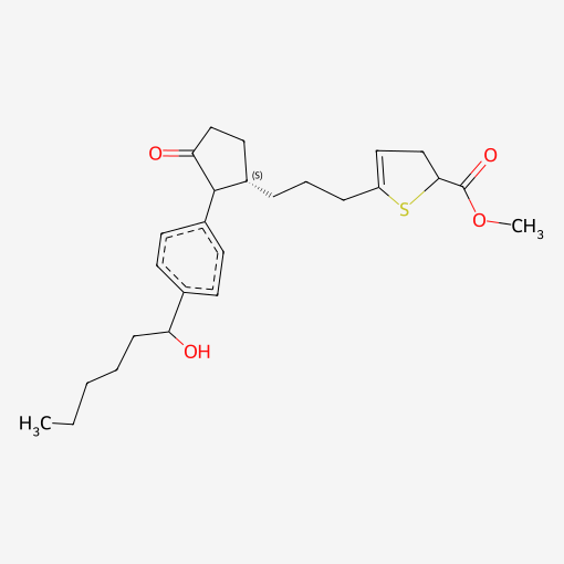 CCCCCC(O)c1ccc(C2C(=O)CC[C@@H]2CCCC2=CCC(C(=O)OC)S2)cc1